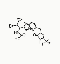 O=C(O)NC(c1cn2nc(C[C@H]3C[C@@H](C(F)(F)F)NC3=O)ccc2n1)C(C1CC1)C1CC1